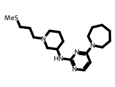 CSCCCN1CCCC(Nc2nccc(N3CCCCCC3)n2)C1